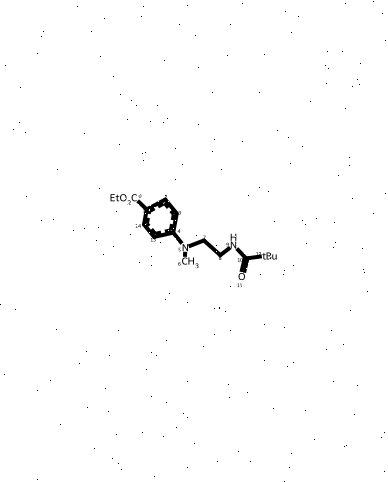 CCOC(=O)c1ccc(N(C)CCNC(=O)C(C)(C)C)cc1